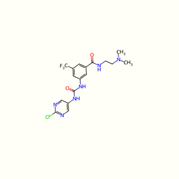 CN(C)CCNC(=O)c1cc(NC(=O)Nc2cnc(Cl)nc2)cc(C(F)(F)F)c1